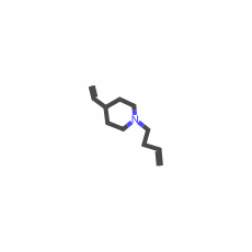 C=CCCN1CCC(C=C)CC1